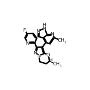 Cc1cc(-c2c(-c3ccc(F)cn3)nn3c2O[C@@H](C)CC3)c2cn[nH]c2n1